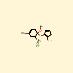 CC(C)OC1(SC2=[C]([Ti+2])CC=C2)CC=C(C(C)(C)C)C=C1C(C)(C)C.[Cl-].[Cl-]